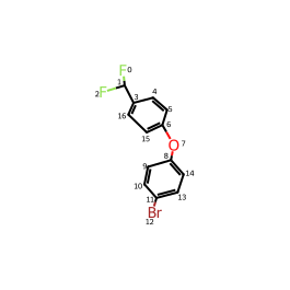 FC(F)c1ccc(Oc2ccc(Br)cc2)cc1